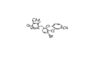 Cc1cc(Cc2ccc(Br)c(Oc3cc(C#N)ccc3Cl)c2)n[nH]c1=O